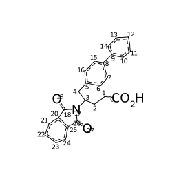 O=C(O)CCC(Cc1ccc(-c2ccccc2)cc1)N1C(=O)c2ccccc2C1=O